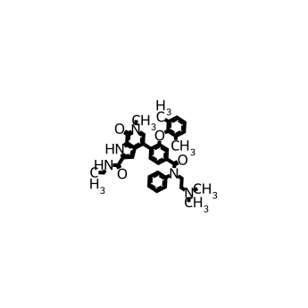 CCNC(=O)c1cc2c(-c3ccc(C(=O)N(CCN(C)C)c4ccccc4)cc3Oc3c(C)cccc3C)cn(C)c(=O)c2[nH]1